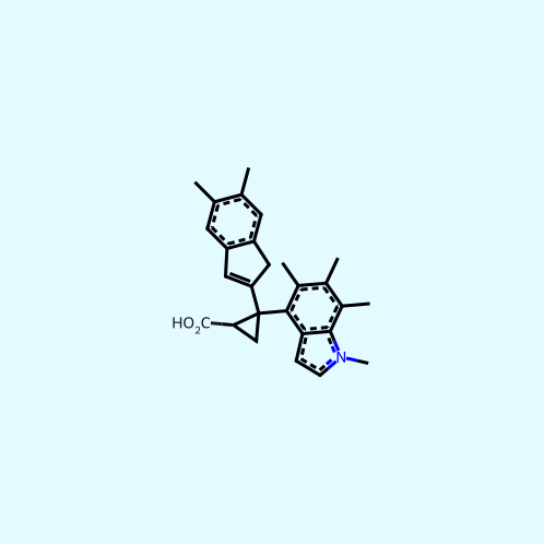 Cc1cc2c(cc1C)CC(C1(c3c(C)c(C)c(C)c4c3ccn4C)CC1C(=O)O)=C2